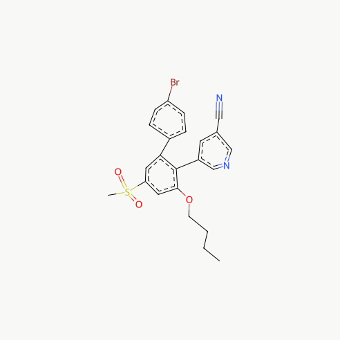 CCCCOc1cc(S(C)(=O)=O)cc(-c2ccc(Br)cc2)c1-c1cncc(C#N)c1